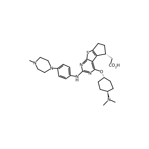 CN1CCN(c2ccc(Nc3nc(O[C@H]4CC[C@H](N(C)C)CC4)c4c5c(sc4n3)CC[C@@H]5CC(=O)O)cc2)CC1